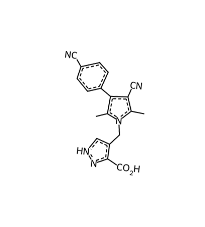 Cc1c(C#N)c(-c2ccc(C#N)cc2)c(C)n1Cc1c[nH]nc1C(=O)O